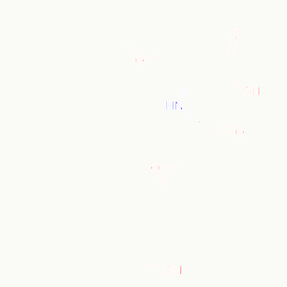 O=C(NC(COCc1ccccc1)C(=O)O)c1ccc(-c2ccccc2O)o1